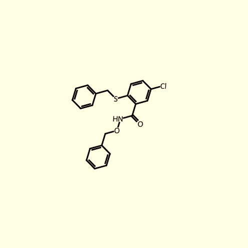 O=C(NOCc1ccccc1)c1cc(Cl)ccc1SCc1ccccc1